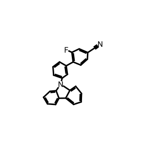 N#Cc1ccc(-c2cccc(-n3c4ccccc4c4ccccc43)c2)c(F)c1